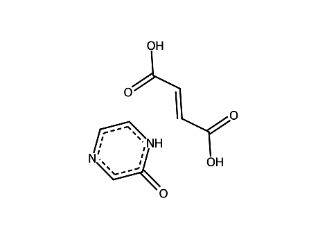 O=C(O)/C=C/C(=O)O.O=c1cncc[nH]1